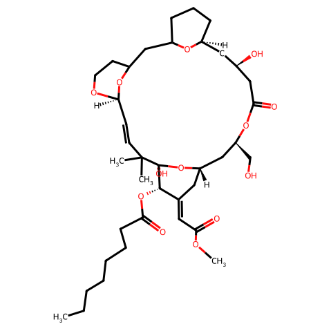 CCCCCCCC(=O)O[C@H]1/C(=C/C(=O)OC)C[C@H]2C[C@H](CO)OC(=O)C[C@H](O)C[C@@H]3CCCC(CC4CCO[C@H](/C=C/C(C)(C)[C@]1(O)O2)O4)O3